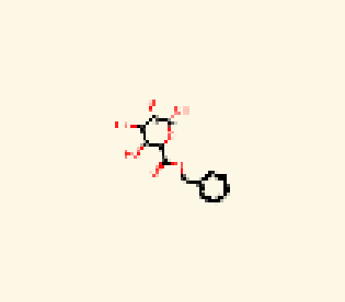 O=C(OCc1ccccc1)C1O[C@@H](O)[C@@H](O)C(O)C1O